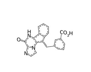 O=C(O)c1cccc(C=c2c3ccccc3c3[nH]c(=O)c4nccn4c23)c1